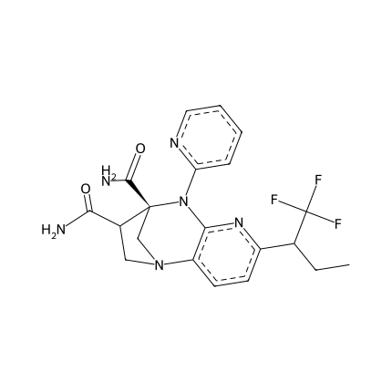 CCC(c1ccc2c(n1)N(c1ccccn1)[C@]1(C(N)=O)CN2CC1C(N)=O)C(F)(F)F